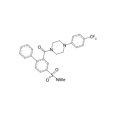 CNS(=O)(=O)c1ccc(-c2ccccc2)c(C(=O)N2CCN(c3ccc(C(F)(F)F)cc3)CC2)c1